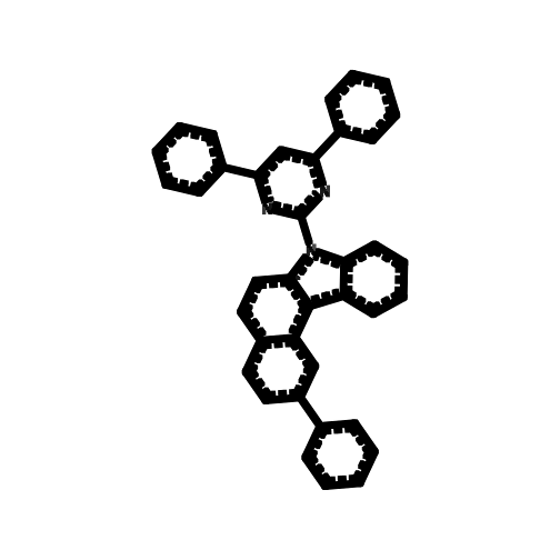 c1ccc(-c2ccc3ccc4c(c3c2)c2ccccc2n4-c2nc(-c3ccccc3)cc(-c3ccccc3)n2)cc1